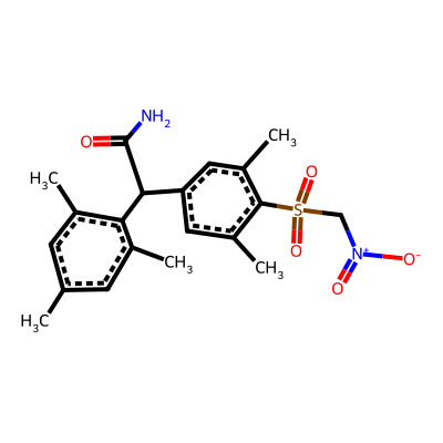 Cc1cc(C)c(C(C(N)=O)c2cc(C)c(S(=O)(=O)C[N+](=O)[O-])c(C)c2)c(C)c1